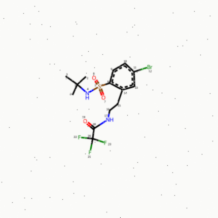 CC(C)(C)NS(=O)(=O)c1ccc(Br)cc1CCNC(=O)C(F)(F)F